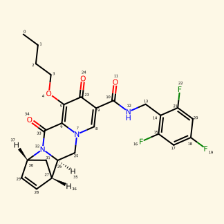 CCCCOc1c2n(cc(C(=O)NCc3c(F)cc(F)cc3F)c1=O)C[C@H]1[C@@H]3C=C[C@@H](C3)N1C2=O